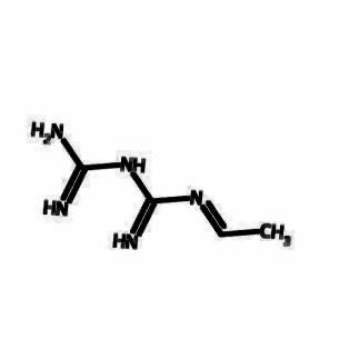 CC=NC(=N)NC(=N)N